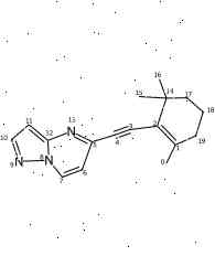 CC1=C(C#Cc2ccn3nccc3n2)C(C)(C)CCC1